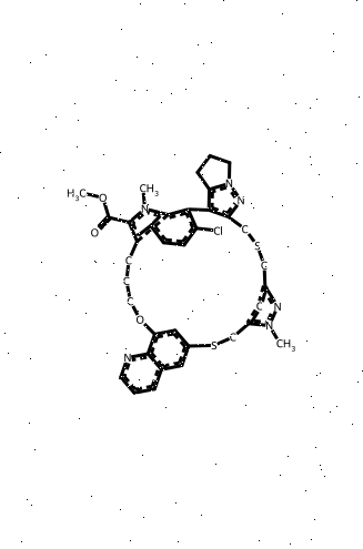 COC(=O)c1c2c3ccc(Cl)c(c3n1C)-c1c(nn3c1CCC3)CSCc1cc(n(C)n1)CSc1cc(c3ncccc3c1)OCCC2